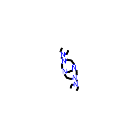 CCN(CC)CN1CCCN2CCN(CCCN(CN(CC)CC)CC2)CC1